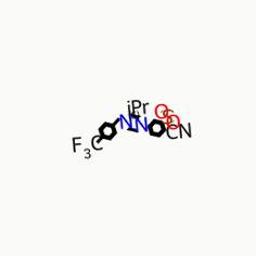 CC(C)[C@H]1CN(c2ccc(C#N)c(S(C)(=O)=O)c2)CCN1Cc1ccc(C(F)(F)F)cc1